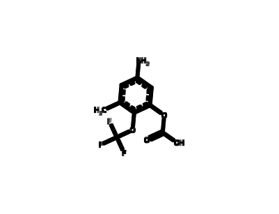 Cc1cc(N)cc(OC(=O)O)c1OC(F)(F)F